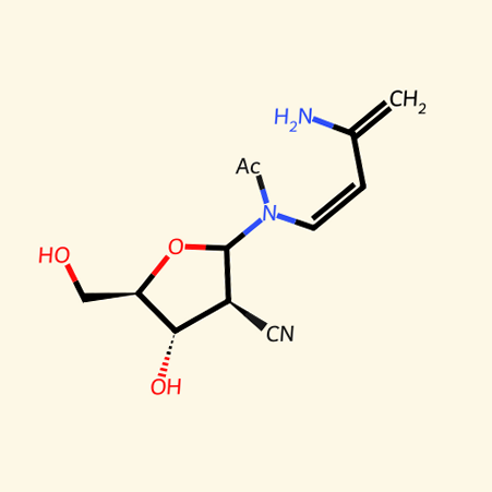 C=C(N)/C=C\N(C(C)=O)C1O[C@H](CO)[C@@H](O)[C@@H]1C#N